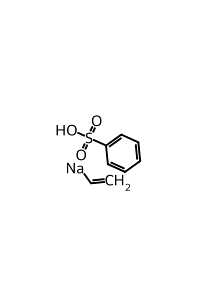 C=[CH][Na].O=S(=O)(O)c1ccccc1